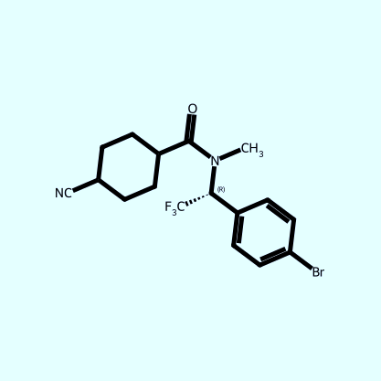 CN(C(=O)C1CCC(C#N)CC1)[C@H](c1ccc(Br)cc1)C(F)(F)F